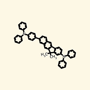 CC1(C)c2cc(N(c3ccccc3)c3ccccc3)ccc2-c2cc3ccc(-c4ccc(N(c5ccccc5)c5ccccc5)cc4)cc3cc21